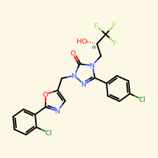 O=c1n(Cc2cnc(-c3ccccc3Cl)o2)nc(-c2ccc(Cl)cc2)n1C[C@H](O)C(F)(F)F